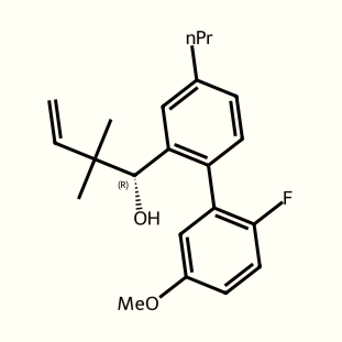 C=CC(C)(C)[C@@H](O)c1cc(CCC)ccc1-c1cc(OC)ccc1F